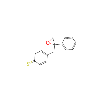 S=C1C=CC(CC2(c3ccccc3)CO2)=CC1